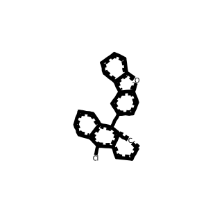 Clc1c2ccccc2c(-c2ccc3oc4ccccc4c3c2)c2ccccc12